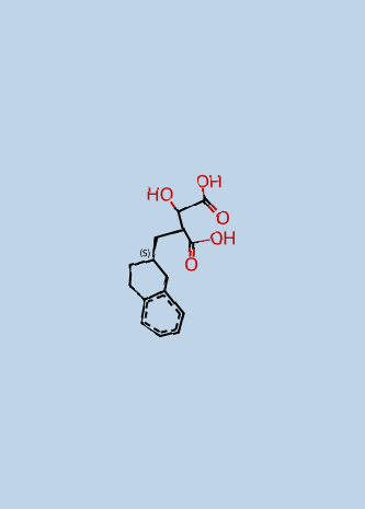 O=C(O)C(O)C(C[C@@H]1CCc2ccccc2C1)C(=O)O